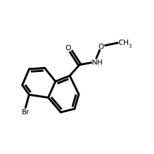 CONC(=O)c1cccc2c(Br)cccc12